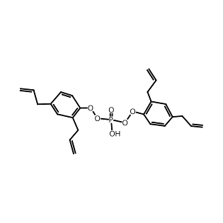 C=CCc1ccc(OOP(=O)(O)OOc2ccc(CC=C)cc2CC=C)c(CC=C)c1